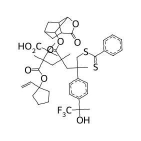 C=CC1(OC(=O)C(C)(CC(C)(CC(C)(CSC(=S)c2ccccc2)c2ccc(C(C)(O)C(F)(F)F)cc2)C(=O)OC2C3CC4C(=O)OC2C4C3)C(C)(C)C(=O)O)CCCC1